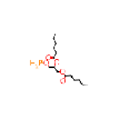 CCCCCC(=O)OCC(COP)OC(=O)CCCCC